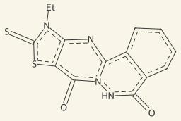 CCn1c(=S)sc2c(=O)n3[nH]c(=O)c4ccccc4c3nc21